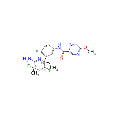 CC[C@]1(c2cc(NC(=O)c3cnc(OC)cn3)ccc2F)N=C(N)[C@@](C)(F)C[C@@H]1F